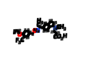 C/C(=N\OCc1ccc(OC(C)C)c(C(F)(F)F)c1)c1ccc2c(c1)CCC2N(C)CCC(=O)O